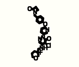 O=C1CCN1Cc1ccc(Oc2ccc(-n3ncc(NC[C@@]4(F)CCCOC4)c(Cl)c3=O)cn2)cc1